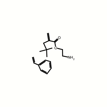 C=C(CC(C)(C)C)C(=O)OCCN.C=Cc1ccccc1